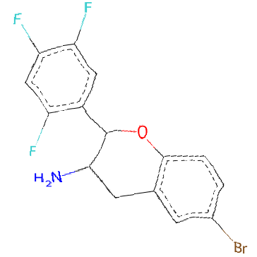 NC1Cc2cc(Br)ccc2OC1c1cc(F)c(F)cc1F